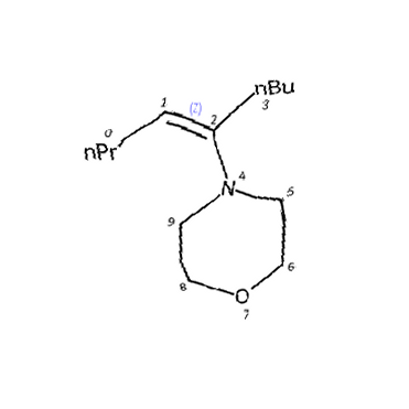 CCC/C=C(/CCCC)N1CCOCC1